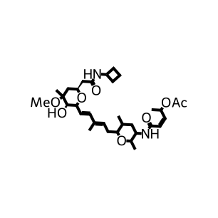 COC1(C)C[C@@H](CC(=O)NC2CCC2)OC(/C=C/C(C)=C/CC2OC(C)C(NC(=O)/C=C\C(C)OC(C)=O)CC2C)[C@H]1O